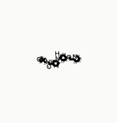 CC1(CNC(=O)c2cccc(Nc3ccc(OCc4ccccn4)cc3)c2)COC1